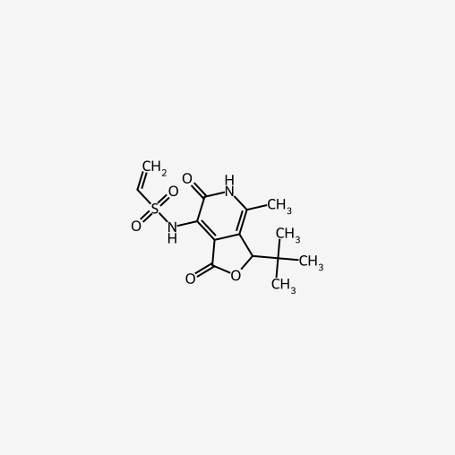 C=CS(=O)(=O)Nc1c2c(c(C)[nH]c1=O)C(C(C)(C)C)OC2=O